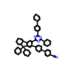 N#Cc1ccc(-c2ccc(-c3cc4c(cc3-c3nc(-c5ccccc5)nc(-c5ccc(-c6ccccc6)cc5)n3)-c3ccccc3C4(c3ccccc3)c3ccccc3)cc2)cc1